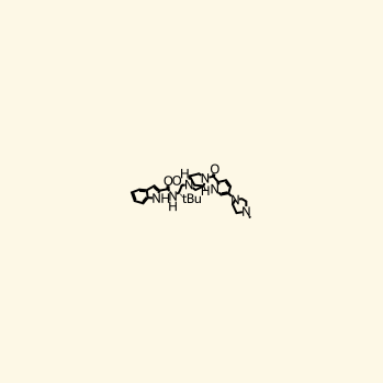 CN1CCN(c2ccc(C(=O)N3C[C@@H]4C[C@H]3CN4C(=O)[C@@H](NC(=O)c3cc4ccccc4[nH]3)C(C)(C)C)nc2)CC1